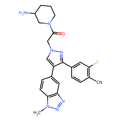 Cn1nnc2cc(-c3cn(CC(=O)N4CCCC(N)C4)nc3-c3ccc(C#N)c(F)c3)ccc21